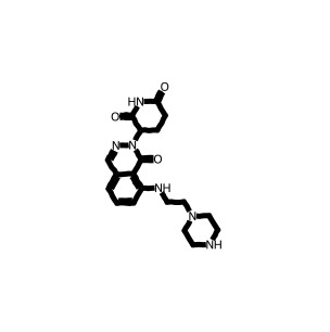 O=C1CCC(n2ncc3cccc(NCCN4CCNCC4)c3c2=O)C(=O)N1